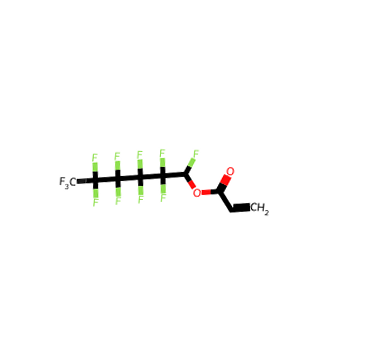 C=CC(=O)OC(F)C(F)(F)C(F)(F)C(F)(F)C(F)(F)C(F)(F)F